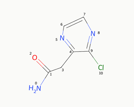 NC(=O)Cc1nccnc1Cl